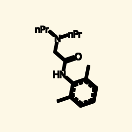 CCCN(CCC)CC(=O)Nc1c(C)cccc1C